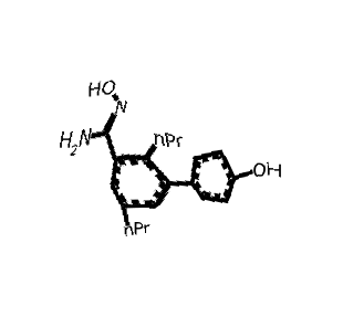 CCCc1cc(/C(N)=N/O)c(CCC)c(-c2ccc(O)cc2)c1